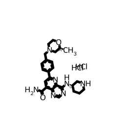 C[C@H]1CN(Cc2ccc(-c3cc(C(N)=O)c4ncnc(N[C@H]5CCCNC5)c4n3)cc2)CCO1.Cl.Cl